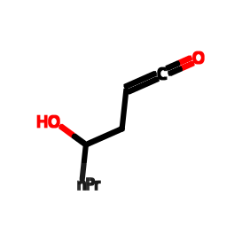 CCCC(O)CC=C=O